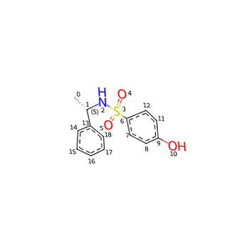 C[C@H](NS(=O)(=O)c1ccc(O)cc1)c1ccccc1